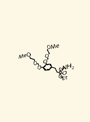 CCOP(=O)(CCc1ccc(OCOCCOC)c(OCOCCOC)c1)ON